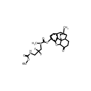 CN(CC(F)(F)CNC(=O)OC(C)(C)C)C(=O)Oc1ccc2c3c1OC1C(=O)CCC4C(C2)N(C)CCC314